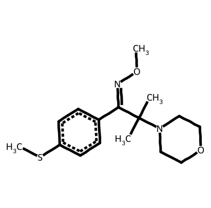 CON=C(c1ccc(SC)cc1)C(C)(C)N1CCOCC1